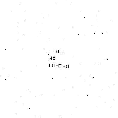 Cl.Cl.Cl.Cl.[BiH3]